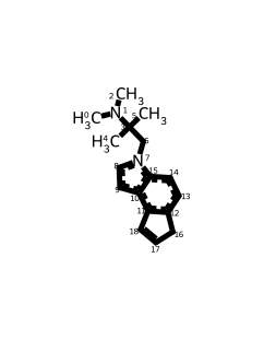 CN(C)C(C)(C)Cn1ccc2c3c(ccc21)CC=C3